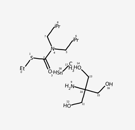 CCSC(=O)N(CC(C)C)CC(C)C.NC(CO)(CO)CO.[CH3][SnH]